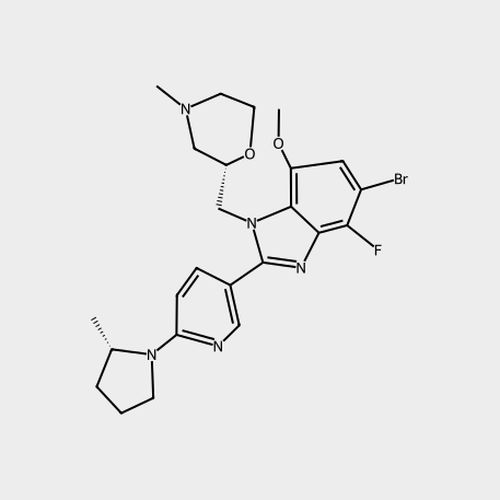 COc1cc(Br)c(F)c2nc(-c3ccc(N4CCC[C@@H]4C)nc3)n(C[C@@H]3CN(C)CCO3)c12